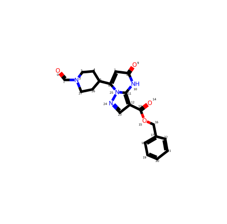 O=CN1CCC(c2cc(=O)[nH]c3c(C(=O)OCc4ccccc4)cnn23)CC1